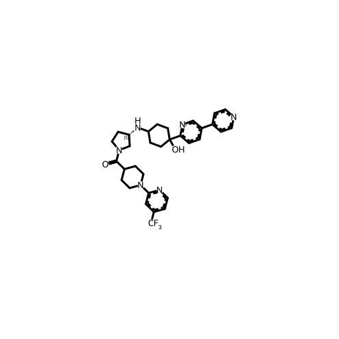 O=C(C1CCN(c2cc(C(F)(F)F)ccn2)CC1)N1CC[C@H](NC2CCC(O)(c3ccc(-c4ccncc4)cn3)CC2)C1